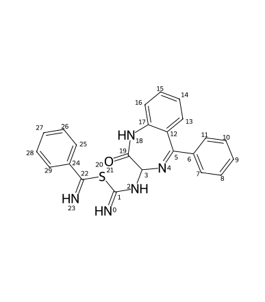 N=C(NC1N=C(c2ccccc2)c2ccccc2NC1=O)SC(=N)c1ccccc1